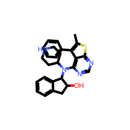 Cc1sc2ncnc(N(C3CCNCC3)C3c4ccccc4CC3O)c2c1-c1ccccc1